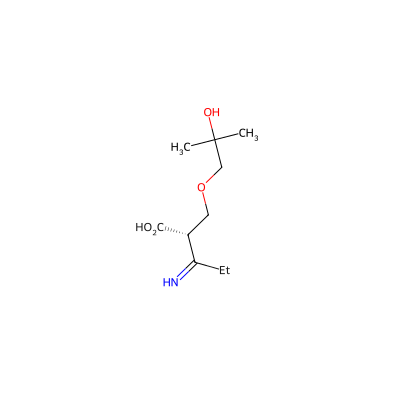 CCC(=N)[C@@H](COCC(C)(C)O)C(=O)O